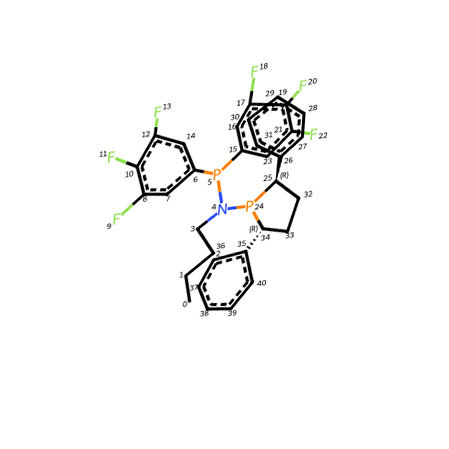 CCCCN(P(c1cc(F)c(F)c(F)c1)c1cc(F)c(F)c(F)c1)P1[C@@H](c2ccccc2)CC[C@@H]1c1ccccc1